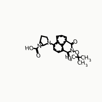 CC(C)(C)ON1C(=O)c2cccc3c(N4CCC5C4N5C(=O)O)ccc(c23)C1=O